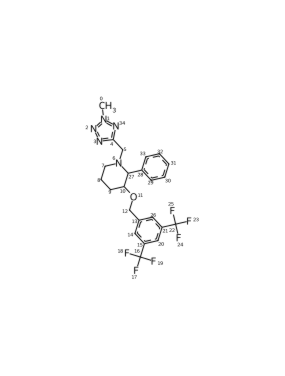 Cn1nnc(CN2CCCC(OCc3cc(C(F)(F)F)cc(C(F)(F)F)c3)C2c2ccccc2)n1